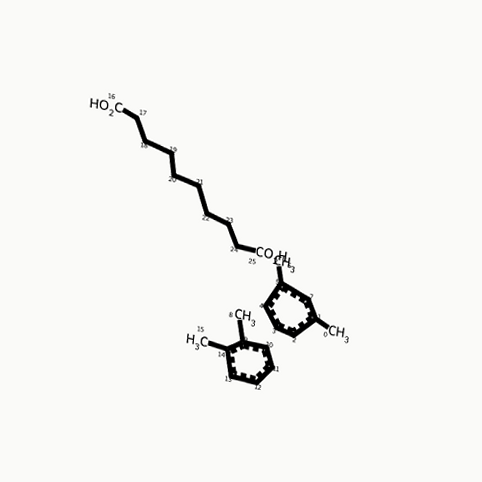 Cc1cccc(C)c1.Cc1ccccc1C.O=C(O)CCCCCCCCC(=O)O